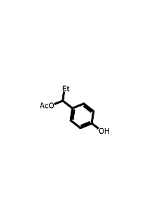 CCC(OC(C)=O)c1ccc(O)cc1